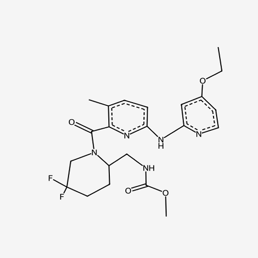 CCOc1ccnc(Nc2ccc(C)c(C(=O)N3CC(F)(F)CCC3CNC(=O)OC)n2)c1